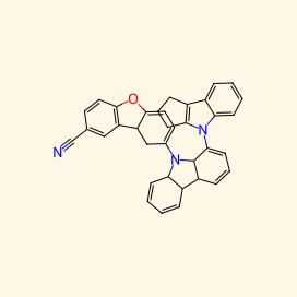 N#Cc1ccc2c(c1)C1CC(N3C4C=CC=CC4C4C=CC=C(n5c6c(c7ccccc75)CCC6)C43)=CC=C1O2